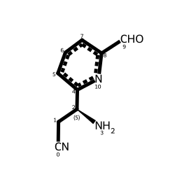 N#CC[C@H](N)c1cccc(C=O)n1